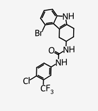 O=C(Nc1ccc(Cl)c(C(F)(F)F)c1)NC1CCc2[nH]c3cccc(Br)c3c2C1